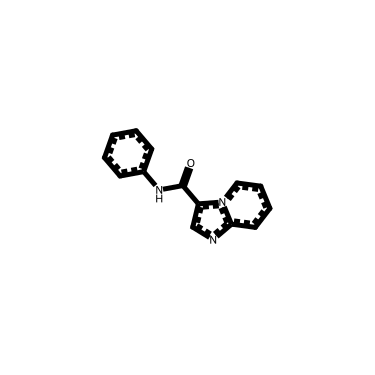 O=C(Nc1ccccc1)c1cnc2ccccn12